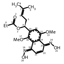 CCC(=O)O[C@@H](CC=C(C)C)c1cc(OC)c2c(c1OC)/C(=N/O)C=C/C2=N\O